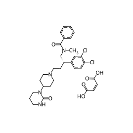 CN(C[C@@H](CCN1CCC(N2CCCNC2=O)CC1)c1ccc(Cl)c(Cl)c1)C(=O)c1ccccc1.O=C(O)/C=C\C(=O)O